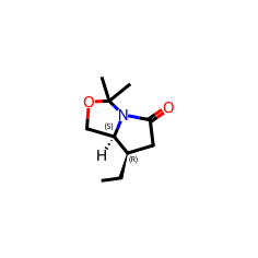 CC[C@@H]1CC(=O)N2[C@@H]1COC2(C)C